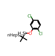 CCCCCCCC(C)(C)[SiH2]Oc1cc(Cl)ccc1Cl